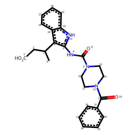 CC(CC(=O)O)c1c(NC(=O)N2CCN(C(=O)c3ccccc3)CC2)[nH]c2ccccc12